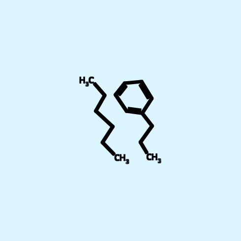 CCCCCC.CCCc1ccccc1